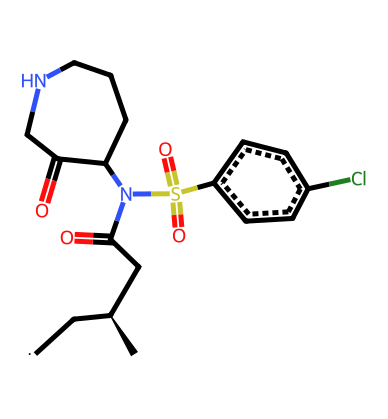 [CH2]C[C@H](C)CC(=O)N(C1CCCNCC1=O)S(=O)(=O)c1ccc(Cl)cc1